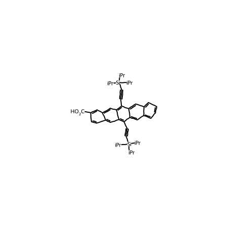 CC(C)[Si](C#Cc1c2cc3ccccc3cc2c(C#C[Si](C(C)C)(C(C)C)C(C)C)c2cc3cc(C(=O)O)ccc3cc12)(C(C)C)C(C)C